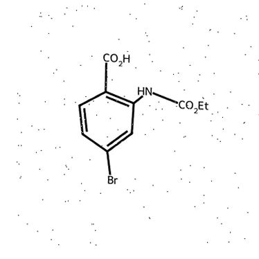 CCOC(=O)Nc1cc(Br)ccc1C(=O)O